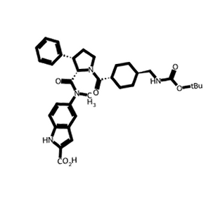 CN(C(=O)[C@@H]1[C@H](c2ccccc2)CCN1C(=O)[C@H]1CC[C@H](CNC(=O)OC(C)(C)C)CC1)c1ccc2[nH]c(C(=O)O)cc2c1